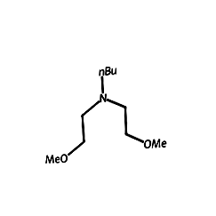 CCCCN(CCOC)CCOC